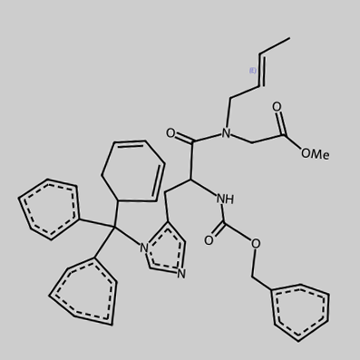 C/C=C/CN(CC(=O)OC)C(=O)C(Cc1cncn1C(c1ccccc1)(c1ccccc1)C1C=CC=CC1)NC(=O)OCc1ccccc1